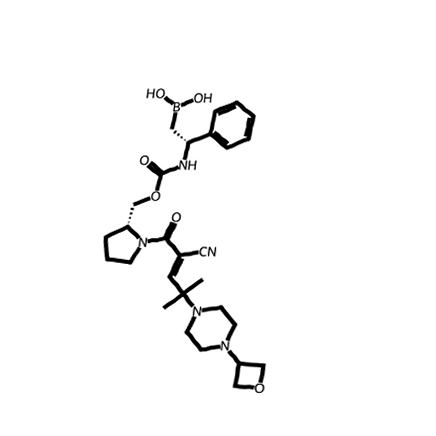 CC(C)(C=C(C#N)C(=O)N1CCC[C@@H]1COC(=O)N[C@H](CB(O)O)c1ccccc1)N1CCN(C2COC2)CC1